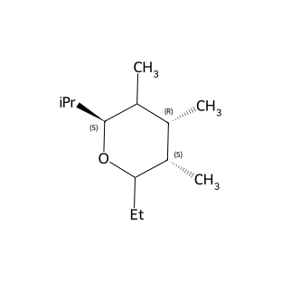 CCC1O[C@@H](C(C)C)C(C)[C@H](C)[C@@H]1C